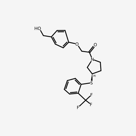 O=C(COc1ccc(CO)cc1)N1CC[C@@H](Sc2ccccc2C(F)(F)F)C1